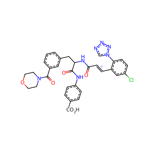 O=C(/C=C/c1cc(Cl)ccc1-n1cnnn1)NC(Cc1cccc(C(=O)N2CCOCC2)c1)C(=O)Nc1ccc(C(=O)O)cc1